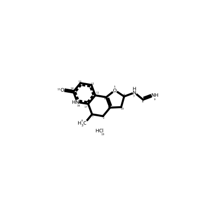 CC1CC2=C(OC(NC=N)C2)c2ccc(=O)[nH]c21.Cl